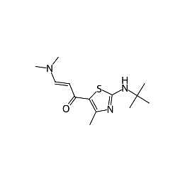 Cc1nc(NC(C)(C)C)sc1C(=O)C=CN(C)C